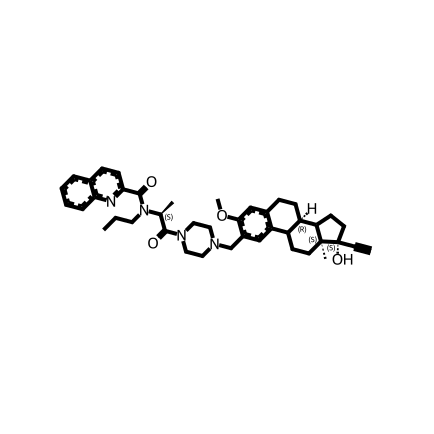 C#C[C@]1(O)CCC2[C@@H]3CCc4cc(OC)c(CN5CCN(C(=O)[C@H](C)N(CCC)C(=O)c6ccc7ccccc7n6)CC5)cc4C3CC[C@@]21C